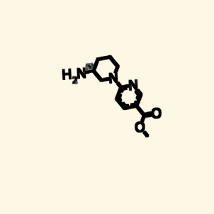 COC(=O)c1ccc(N2CCC[C@H](N)C2)nc1